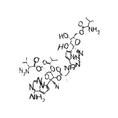 CC(C)C(=O)O[C@H]1[C@@H](OC(=O)[C@@H](C)CNc2ncnn3c([C@]4(C#N)O[C@H](COC(=O)[C@H](N)C(C)C)[C@@H](O)[C@H]4O)ccc23)[C@](C#N)(c2ccc3c(N)ncnn23)O[C@@H]1COC(=O)[C@@H](N)C(C)C